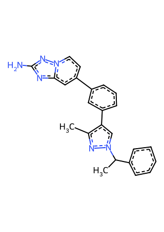 Cc1nn(C(C)c2ccccc2)cc1-c1cccc(-c2ccn3nc(N)nc3c2)c1